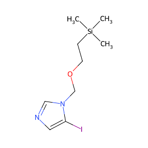 C[Si](C)(C)CCOCn1cncc1I